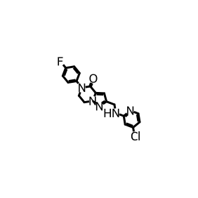 O=C1c2cc(CNc3cc(Cl)ccn3)nn2CCN1c1ccc(F)cc1